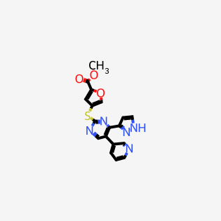 COC(=O)c1cc(Sc2ncc(-c3cccnc3)c(-c3cc[nH]n3)n2)co1